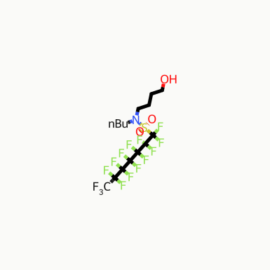 CCCCN(CCCCO)S(=O)(=O)C(F)(F)C(F)(F)C(F)(F)C(F)(F)C(F)(F)C(F)(F)C(F)(F)F